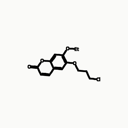 CCOc1cc2oc(=O)ccc2cc1OCCCCl